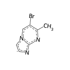 Cc1nc2n[c]cn2cc1Br